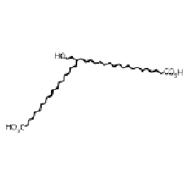 O=C(O)CCCCCCCCCCCCCCCCCCC(CCO)CCCCCCCCCCCCCCCCCC(=O)O